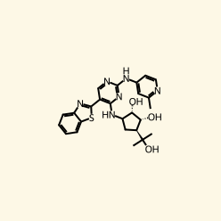 Cc1cc(Nc2ncc(-c3nc4ccccc4s3)c(NC3C[C@H](C(C)(C)O)[C@@H](O)[C@H]3O)n2)ccn1